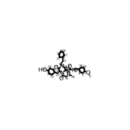 COc1ccc(CNC(=O)N2[C@H]3CN(CCc4ccccc4)C(=O)[C@H](Cc4ccc(O)cc4)N3C(=O)CN2C)cc1